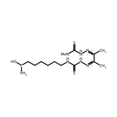 CNC(=S)N/N=C(C)\C(C)=N/NC(=S)NCCCCCCP(O)P